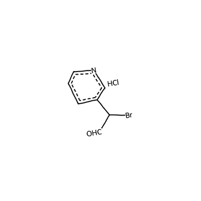 Cl.O=CC(Br)c1cccnc1